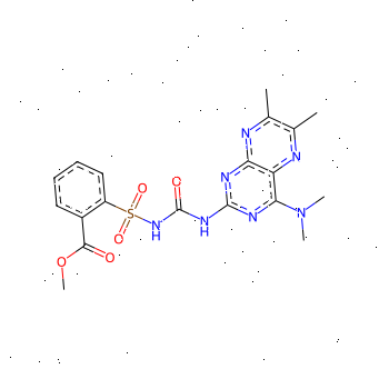 COC(=O)c1ccccc1S(=O)(=O)NC(=O)Nc1nc(N(C)C)c2nc(C)c(C)nc2n1